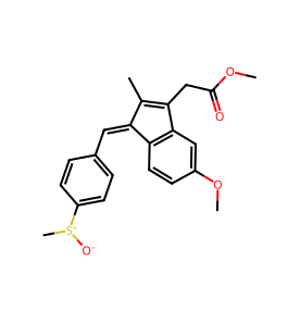 COC(=O)CC1=C(C)/C(=C/c2ccc([S+](C)[O-])cc2)c2ccc(OC)cc21